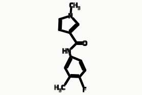 Cc1cc(NC(=O)c2ccn(C)c2)ccc1F